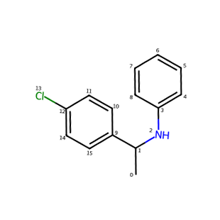 CC(Nc1ccccc1)c1ccc(Cl)cc1